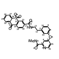 CNC(=O)c1cc(Oc2cccc(CCNC(=O)c3ccc4c(c3)S(=O)(=O)c3ccccc3C4=O)c2)ccn1